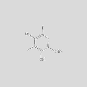 CCc1c(C)cc(C=O)c(O)c1C